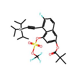 CC(C)[Si](C#Cc1c(F)ccc2cc(OC(=O)C(C)(C)C)cc(OS(=O)(=O)OC(F)(F)F)c12)(C(C)C)C(C)C